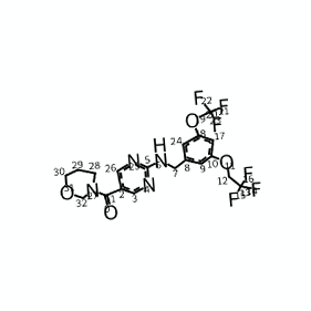 O=C(c1cnc(NCc2cc(OCC(F)(F)F)cc(OC(F)(F)F)c2)nc1)N1CCCOC1